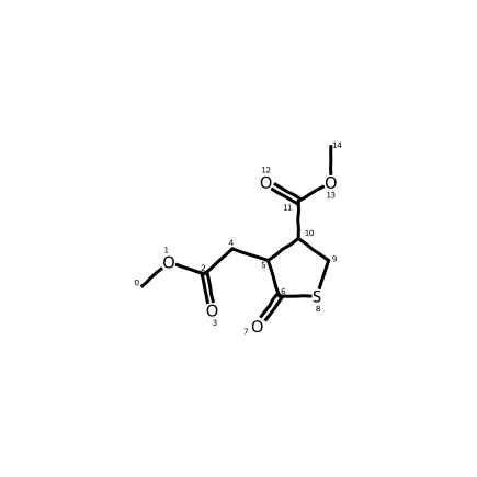 COC(=O)CC1C(=O)SCC1C(=O)OC